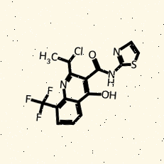 CC(Cl)c1nc2c(C(F)(F)F)cccc2c(O)c1C(=O)Nc1nccs1